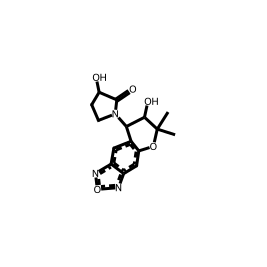 CC1(C)Oc2cc3nonc3cc2C(N2CCC(O)C2=O)C1O